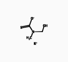 CN(CO)C([O-])=S.[K+]